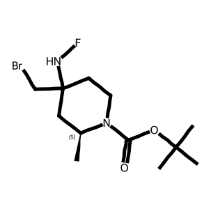 C[C@H]1CC(CBr)(NF)CCN1C(=O)OC(C)(C)C